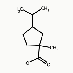 CC(C)C1CCC(C)(C([O])=O)C1